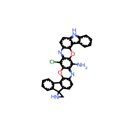 Nc1c2c(c(Cl)c3c1=Nc1ccc4c(c1O3)-c1ccccc1C41CN1)=Nc1ccc3[nH]c4ccccc4c3c1O2